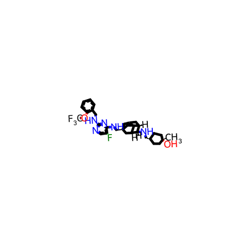 C[C@]1(O)CC[C@H](CN[C@@H]2[C@@H]3CC4C[C@H]2C[C@@](CNc2nc(NCc5ccccc5OC(F)(F)F)ncc2F)(C4)C3)CC1